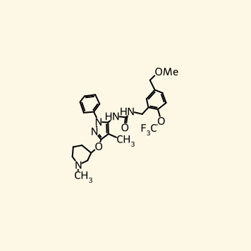 COCc1ccc(OC(F)(F)F)c(CNC(=O)Nc2c(C)c(OC3CCCN(C)C3)nn2-c2ccccc2)c1